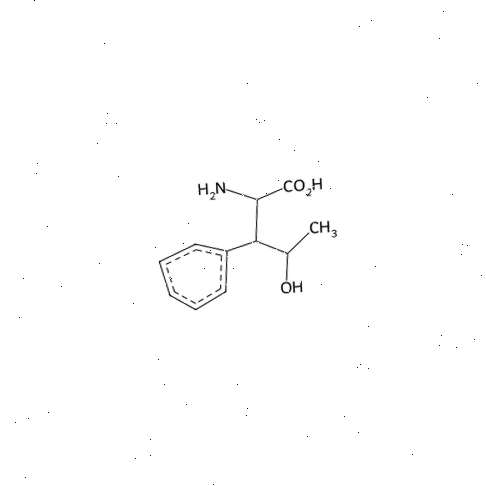 CC(O)C(c1ccccc1)C(N)C(=O)O